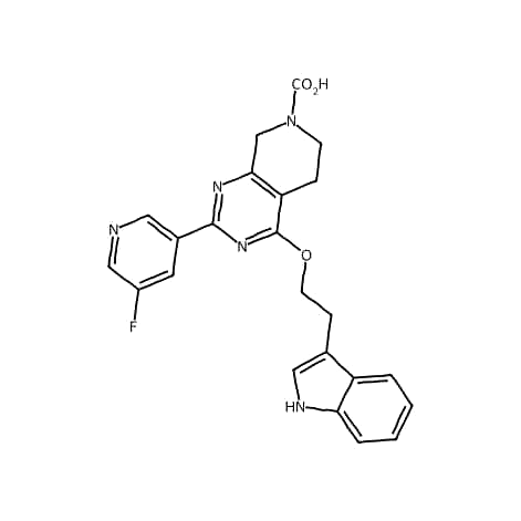 O=C(O)N1CCc2c(nc(-c3cncc(F)c3)nc2OCCc2c[nH]c3ccccc23)C1